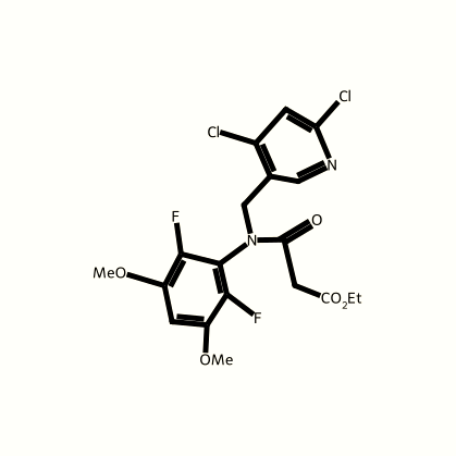 CCOC(=O)CC(=O)N(Cc1cnc(Cl)cc1Cl)c1c(F)c(OC)cc(OC)c1F